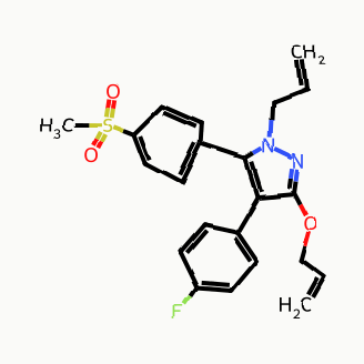 C=CCOc1nn(CC=C)c(-c2ccc(S(C)(=O)=O)cc2)c1-c1ccc(F)cc1